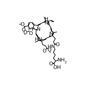 C=Cc1c(C)c2cc3nc(cc4[nH]c(cc5nc(cc1[nH]2)C(C)=C5CCC(=O)NCCCCC(N)C(=O)O)c(CCC(=O)OC)c4C)[C@@]1(C)C3=CC=C(C(=O)OC)[C@H]1C(=O)OC